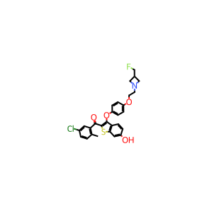 Cc1ccc(Cl)cc1C(=O)c1sc2cc(O)ccc2c1Oc1ccc(OCCN2CC(CF)C2)cc1